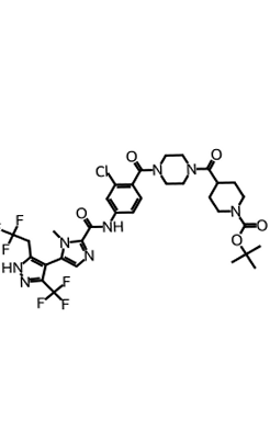 Cn1c(-c2c(C(F)(F)F)n[nH]c2CC(F)(F)F)cnc1C(=O)Nc1ccc(C(=O)N2CCN(C(=O)C3CCN(C(=O)OC(C)(C)C)CC3)CC2)c(Cl)c1